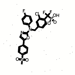 CS(=O)(=O)c1ccc(-c2cnc(N(Cc3ccc(C(F)(F)P(=O)(O)O)c(Cl)c3)c3ccc(F)cc3)o2)cc1